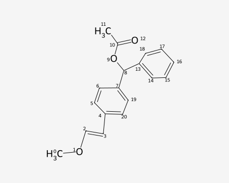 CO/C=C/c1ccc(C(OC(C)=O)c2ccccc2)cc1